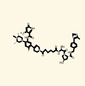 Cc1ncsc1-c1ccc(CNC(=O)[C@@H]2C[C@@H](O)CN2C(=O)[C@@H](NC(=O)CCCCC(=O)N2CC=C(c3cc(NC(=O)c4c[nH]c(=O)cc4C(F)(F)F)c(N4C[C@@H](C)N(C)[C@@H](C)C4)cc3F)CC2)C(C)(C)C)cc1